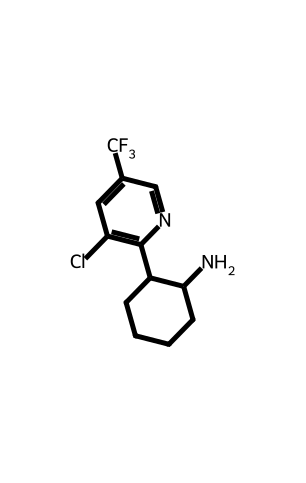 NC1CCCCC1c1ncc(C(F)(F)F)cc1Cl